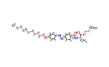 CCCCCCCCCCCCOC(=O)[C@H](C)NC(=O)c1ccc(N=Nc2ccc(OCCCCCCCCCCBr)cc2)cc1